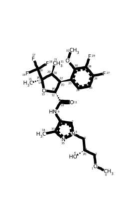 COC[C@H](O)Cn1cc(NC(=O)[C@@H]2O[C@@](C)(C(F)(F)F)[C@@H](C)[C@H]2c2ccc(F)c(F)c2OC)c(C)n1